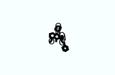 COC1=CCCC2C1C(C)c1c(OCc3ccccc3)noc1[C@H]2N1CCOCC1